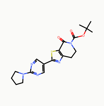 CC(C)(C)OC(=O)N1CCc2nc(-c3cnc(N4CCCC4)nc3)sc2C1=O